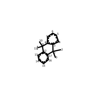 CC1(C)c2ccccc2C(C)(I)c2ccccc21